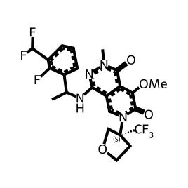 COc1c(=O)n([C@@]2(C(F)(F)F)CCOC2)cc2c(NC(C)c3cccc(C(F)F)c3F)nn(C)c(=O)c12